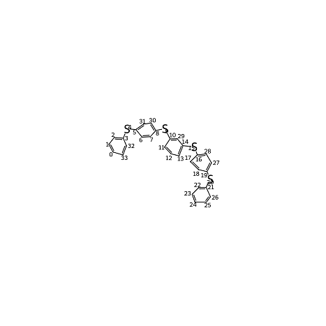 c1ccc(Sc2ccc(Sc3cccc(Sc4ccc(Sc5ccccc5)cc4)c3)cc2)cc1